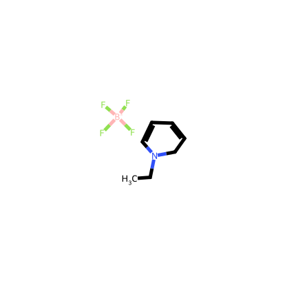 CCN1C=CC=CC1.F[B-](F)(F)F